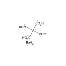 CCCCCCCCC(CCCCCCCC)(C(=O)O)C(=O)O.[BaH2]